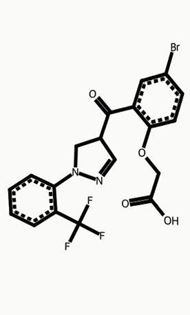 O=C(O)COc1ccc(Br)cc1C(=O)C1C=NN(c2ccccc2C(F)(F)F)C1